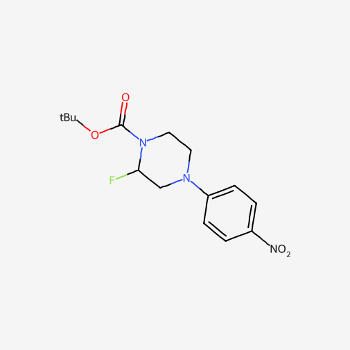 CC(C)(C)OC(=O)N1CCN(c2ccc([N+](=O)[O-])cc2)CC1F